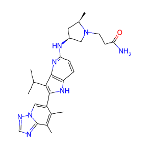 Cc1c(-c2[nH]c3ccc(N[C@H]4C[C@@H](C)N(CCC(N)=O)C4)nc3c2C(C)C)cn2ncnc2c1C